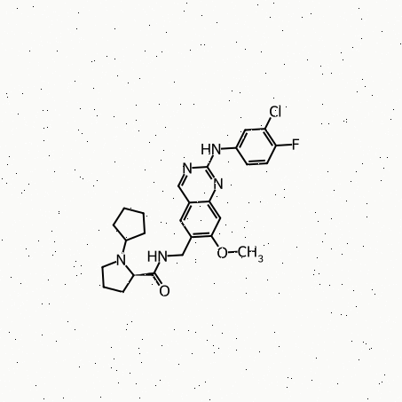 COc1cc2nc(Nc3ccc(F)c(Cl)c3)ncc2cc1CNC(=O)[C@H]1CCCN1C1CCCC1